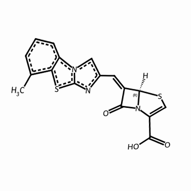 Cc1cccc2c1sc1nc(C=C3C(=O)N4C(C(=O)O)=CS[C@H]34)cn12